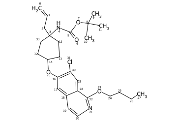 C=CCC1(NC(=O)OC(C)(C)C)CCC(Oc2cc3ccnc(OCCCC)c3cc2Cl)CC1